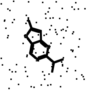 CC(C)c1ncc2oc(I)cc2n1